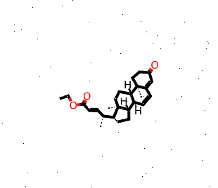 CCOC(=O)C=C[C@@H](C)[C@H]1CC[C@H]2[C@@H]3C=CC4=CC(=O)CC[C@]4(C)[C@H]3CC[C@]12C